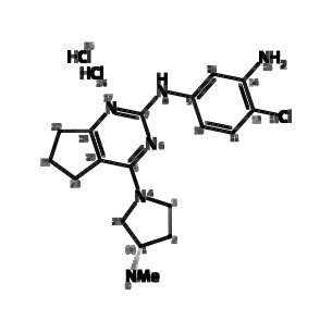 CN[C@H]1CCN(c2nc(Nc3ccc(Cl)c(N)c3)nc3c2CCC3)C1.Cl.Cl